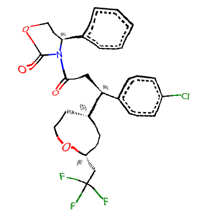 O=C(C[C@@H](c1ccc(Cl)cc1)[C@H]1CCO[C@@H](CC(F)(F)F)C1)N1C(=O)OC[C@H]1c1ccccc1